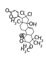 CO[C@H]1[C@H]2O[C@H]2[C@]2(C=O)C3CC[C@]4(C)[C@@H](c5ccc(=O)oc5)C(Cl)(Cl)C[C@]4(O)C3=CCC2C1(C)C